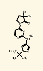 CC[C@]1(C#N)CCN(c2ccnc(Nc3cnn(C(C)(C)C(=O)O)c3)n2)C1=O.Cl